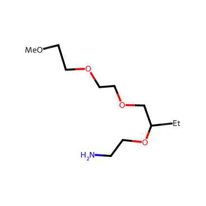 CCC(COCCOCCOC)OCCN